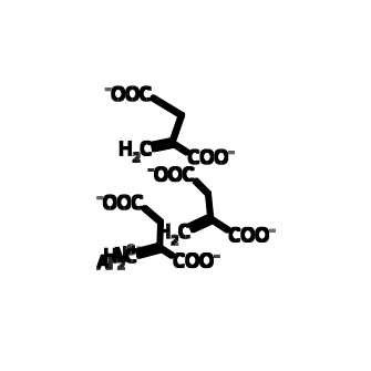 C=C(CC(=O)[O-])C(=O)[O-].C=C(CC(=O)[O-])C(=O)[O-].C=C(CC(=O)[O-])C(=O)[O-].[Al+3].[Al+3]